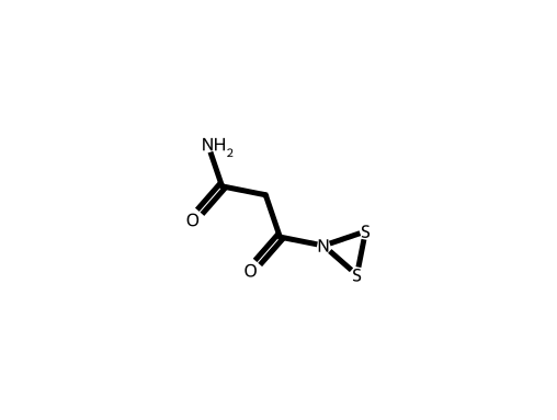 NC(=O)CC(=O)n1ss1